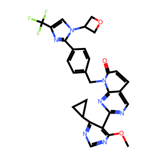 COc1ncnc(C2CC2)c1-c1ncc2ccc(=O)n(Cc3ccc(-c4nc(C(F)(F)F)cn4C4COC4)cc3)c2n1